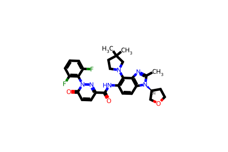 Cc1nc2c(N3CCC(C)(C)C3)c(NC(=O)c3ccc(=O)n(-c4c(F)cccc4F)n3)ccc2n1[C@H]1CCOC1